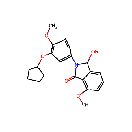 COc1ccc(N2C(=O)c3c(OC)cccc3C2O)cc1OC1CCCC1